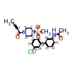 CC#CC(=O)N1CCN(S(C)(=O)=O)[C@H](c2cc(Cl)cc(-c3cccc(NC(C)=O)c3)c2)C1